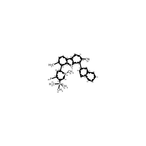 Cc1ccc2c(oc3c(-c4ccc5ccccc5c4)c(C#N)ccc32)c1-c1cc(F)c([Si](C)(C)C)c[n+]1C